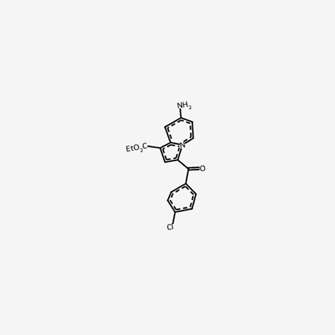 CCOC(=O)c1cc(C(=O)c2ccc(Cl)cc2)n2ccc(N)cc12